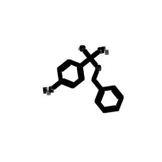 [O]C(OCc1ccccc1)(c1ccc(C(F)(F)F)cc1)C(F)(F)F